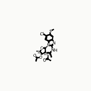 CSc1cc2nc(NC(C)C)n([C@@H]3O[C@H](C)[C@@H](OC(C)=O)[C@H]3OC(C)=O)c2cc1Cl